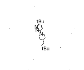 CC(C)(C)CCC1CCN(c2ccc(C(C)(C)C)nn2)CC1